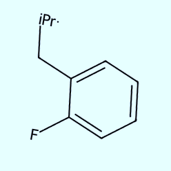 C[C](C)Cc1ccccc1F